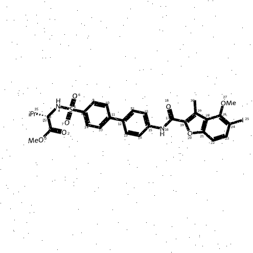 COC(=O)[C@@H](NS(=O)(=O)c1ccc(-c2ccc(NC(=O)c3oc4ccc(I)c(OC)c4c3C)cc2)cc1)C(C)C